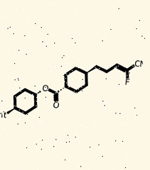 CCCCC[C@H]1CC[C@H](OC(=O)[C@H]2CC[C@H](CCC=C(F)C#N)CC2)CC1